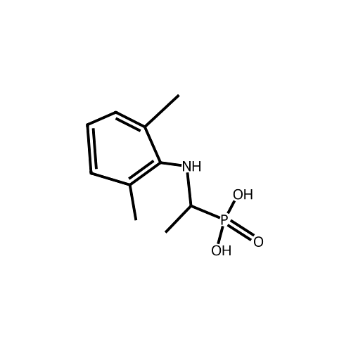 Cc1cccc(C)c1NC(C)P(=O)(O)O